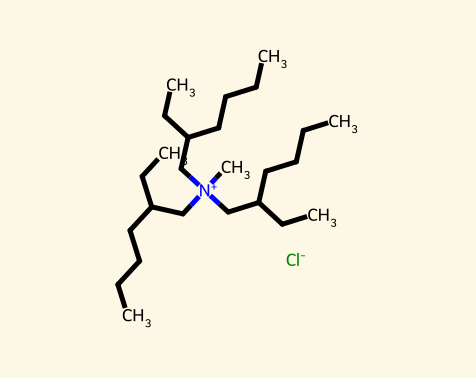 CCCCC(CC)C[N+](C)(CC(CC)CCCC)CC(CC)CCCC.[Cl-]